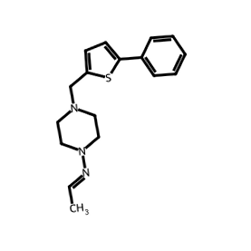 C/C=N/N1CCN(Cc2ccc(-c3ccccc3)s2)CC1